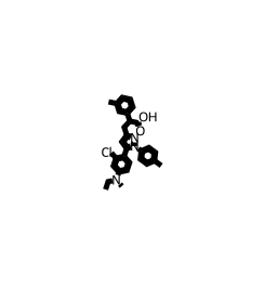 CCN(C)c1ccc(-c2cc(CC(C(=O)O)c3cccc(C)c3)nn2-c2ccc(C)cc2)c(Cl)c1